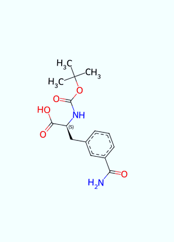 CC(C)(C)OC(=O)N[C@@H](Cc1cccc(C(N)=O)c1)C(=O)O